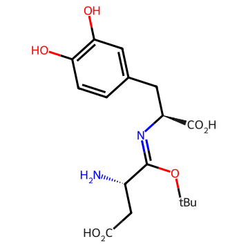 CC(C)(C)OC(=N[C@@H](Cc1ccc(O)c(O)c1)C(=O)O)[C@@H](N)CC(=O)O